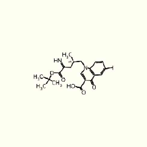 C[C@H](CC(=N)C(=O)OC(C)(C)C)Cn1cc(C(=O)O)c(=O)c2cc(I)ccc21